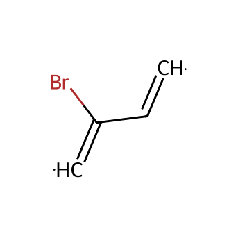 [CH]=CC(=[CH])Br